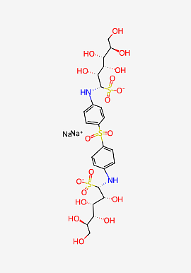 O=S(=O)(c1ccc(N[C@H]([C@H](O)[C@@H](O)[C@H](O)[C@H](O)CO)S(=O)(=O)[O-])cc1)c1ccc(N[C@H]([C@H](O)[C@@H](O)[C@H](O)[C@H](O)CO)S(=O)(=O)[O-])cc1.[Na+].[Na+]